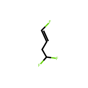 FC=CCC(F)F